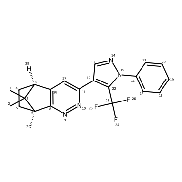 CC1(C)[C@H]2CC[C@]1(C)c1nnc(-c3cnn(-c4ccccc4)c3C(F)(F)F)cc12